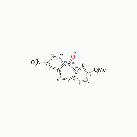 COc1ccc2ccc3cc([N+](=O)[O-])ccc3c(=O)c2c1